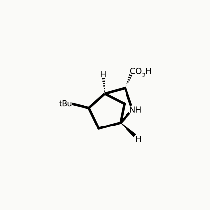 CC(C)(C)C1C[C@@H]2C[C@@H]1[C@H](C(=O)O)N2